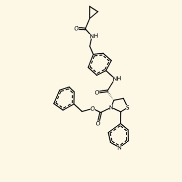 O=C(NCc1ccc(NC(=O)[C@@H]2CSC(c3ccncc3)N2C(=O)OCc2ccccc2)cc1)C1CC1